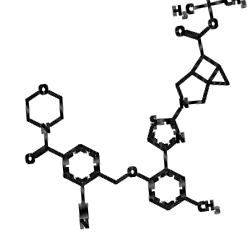 Cc1ccc(OCc2ccc(C(=O)N3CCOCC3)cc2C#N)c(-c2csc(N3CC4C(C(=O)OC(C)(C)C)C5CC45C3)n2)c1